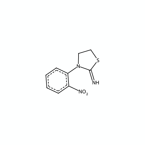 N=C1SCCN1c1ccccc1[N+](=O)[O-]